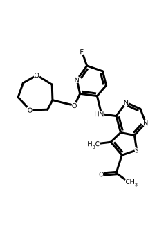 CC(=O)c1sc2ncnc(Nc3ccc(F)nc3OC3COCCOC3)c2c1C